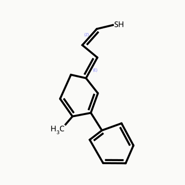 CC1=CC/C(=C\C=C/S)C=C1c1ccccc1